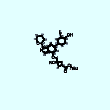 CC(C)(C)OC(=O)N1CC(C#N)(COc2cc(-c3ccc(O)c(F)c3)cc3c2cnn3C2CCCCO2)C1